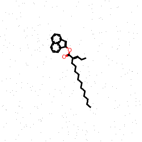 CCC=C(CCCCCCCCCCCC)C(=O)OC1=Cc2cccc3cccc1c23